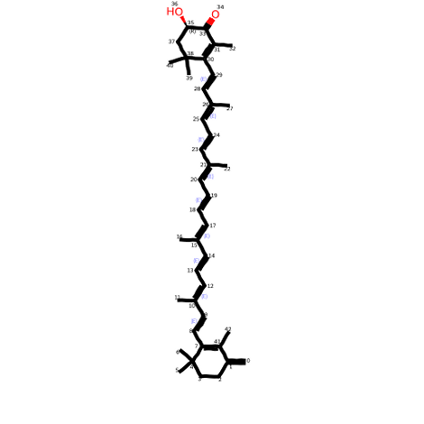 C=C1CCC(C)(C)C(/C=C/C(C)=C/C=C/C(C)=C/C=C/C=C(C)/C=C/C=C(C)/C=C/C2=C(C)C(=O)[C@H](O)CC2(C)C)=C1C